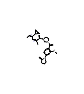 C=C(/C(C)=C\C(=C/C)C1CC1)N1CCN(C(=C)c2ccc(N3CCCC3=C)cc2SC)C1